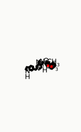 CC(C)(C(=O)Nc1ncnc2c1CCN(Cc1ccc3cc[nH]c3c1)C2)C12CC3CC(CC(C3)C1)C2